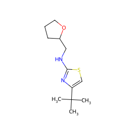 CC(C)(C)c1csc(NCC2CCCO2)n1